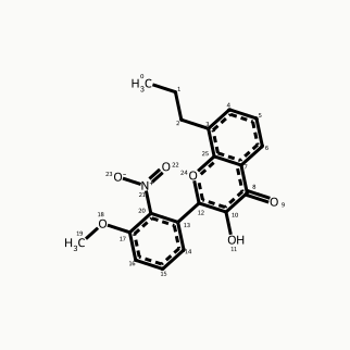 CCCc1cccc2c(=O)c(O)c(-c3cccc(OC)c3[N+](=O)[O-])oc12